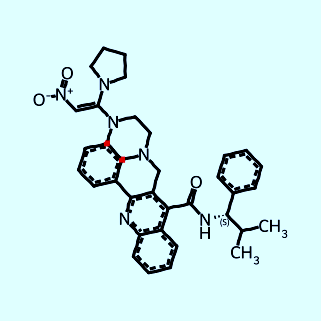 CC(C)[C@H](NC(=O)c1c(CN2CCN(C(=C[N+](=O)[O-])N3CCCC3)CC2)c(-c2ccccc2)nc2ccccc12)c1ccccc1